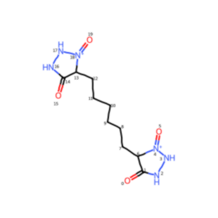 O=C1NN[N+](=O)C1CCCCCCC1C(=O)NN[N+]1=O